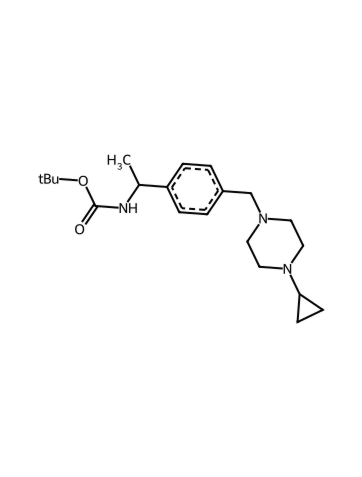 CC(NC(=O)OC(C)(C)C)c1ccc(CN2CCN(C3CC3)CC2)cc1